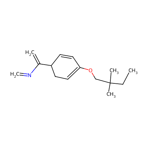 C=NC(=C)C1C=CC(OCC(C)(C)CC)=CC1